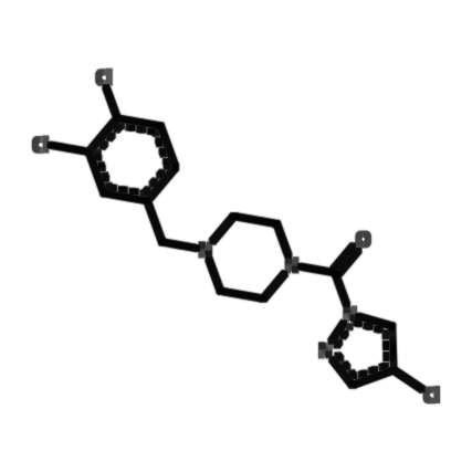 O=C(N1CCN(Cc2ccc(Cl)c(Cl)c2)CC1)n1cc(Cl)cn1